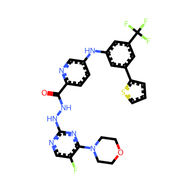 O=C(NNc1ncc(F)c(N2CCOCC2)n1)c1ccc(Nc2cc(-c3cccs3)cc(C(F)(F)F)c2)cn1